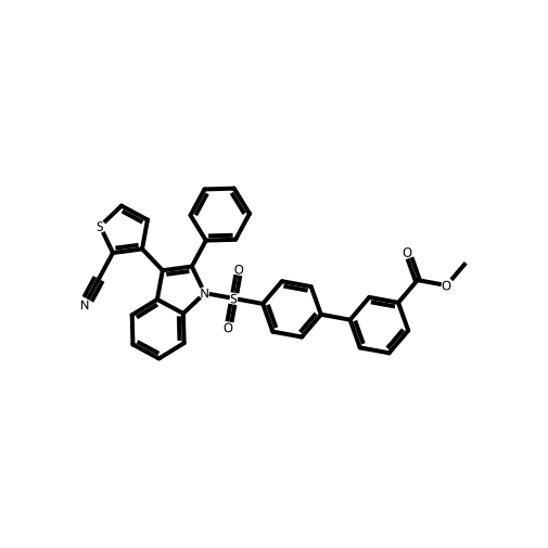 COC(=O)c1cccc(-c2ccc(S(=O)(=O)n3c(-c4ccccc4)c(-c4ccsc4C#N)c4ccccc43)cc2)c1